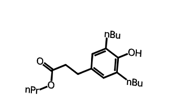 CCCCc1cc(CCC(=O)OCCC)cc(CCCC)c1O